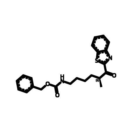 C[C@@H](CCCCNC(=O)OCc1ccccc1)C(=O)c1nc2ccccc2s1